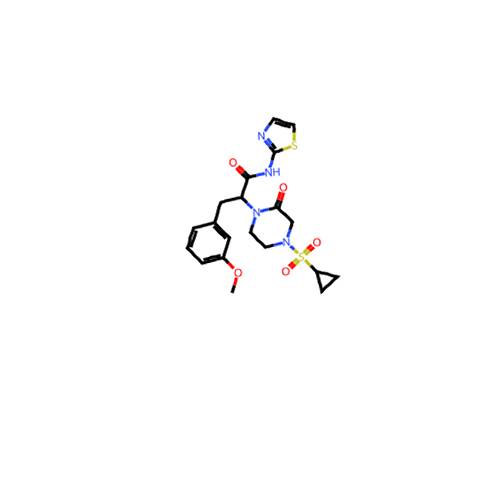 COc1cccc(CC(C(=O)Nc2nccs2)N2CCN(S(=O)(=O)C3CC3)CC2=O)c1